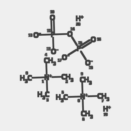 C[N+](C)(C)C.C[N+](C)(C)C.O=P([O-])([O-])OP(=O)([O-])[O-].[H+].[H+]